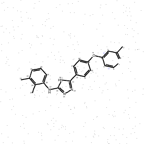 C=C(C)/C=C(\C=C/C)Oc1ccc(-c2nnc(Nc3cccc(C)c3C)[nH]2)cc1